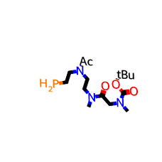 CC(=O)N(CCP)CCN(C)C(=O)CN(C)C(=O)OC(C)(C)C